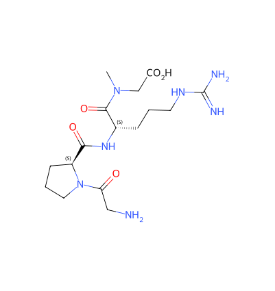 CN(CC(=O)O)C(=O)[C@H](CCCNC(=N)N)NC(=O)[C@@H]1CCCN1C(=O)CN